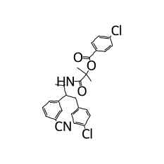 CC(NC(=O)C(C)(C)OC(=O)c1ccc(Cl)cc1)C(Cc1ccc(Cl)cc1)c1cccc(C#N)c1